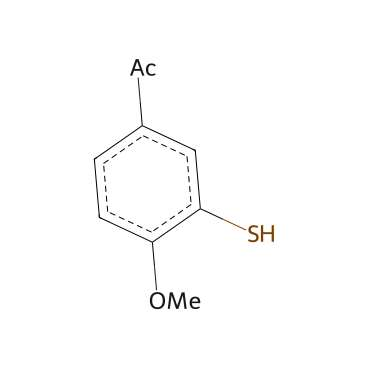 COc1ccc(C(C)=O)cc1S